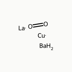 O=O.[BaH2].[Cu].[La]